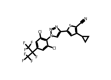 N#Cc1sc(-c2cn(-c3c(Cl)cc(C(F)(C(F)(F)F)C(F)(F)F)cc3Cl)nn2)cc1C1CC1